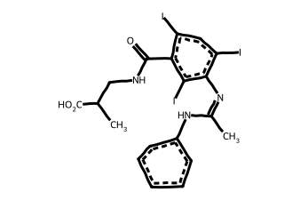 CC(=Nc1c(I)cc(I)c(C(=O)NCC(C)C(=O)O)c1I)Nc1ccccc1